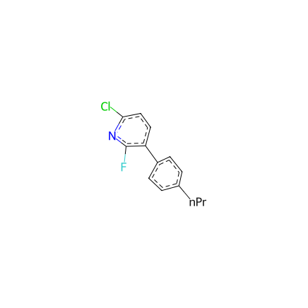 CCCc1ccc(-c2ccc(Cl)nc2F)cc1